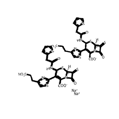 O=C(O)CCc1csc(C2=C(C(=O)[O-])N3C(=O)C(=S)[C@@H]3SC2NC(=O)Cc2cccs2)n1.O=C(O)CCc1csc(C2=C(C(=O)[O-])N3C(=O)C(=S)[C@@H]3SC2NC(=O)Cc2cccs2)n1.[Na+].[Na+]